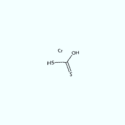 OC(=S)S.[Cr]